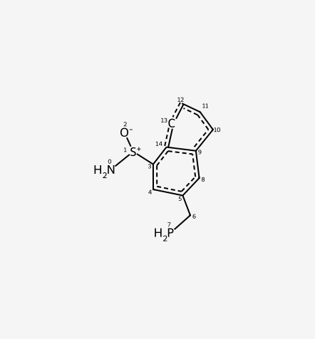 N[S+]([O-])c1cc(CP)cc2ccccc12